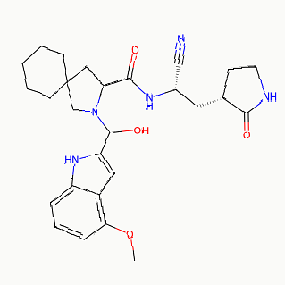 COc1cccc2[nH]c(C(O)N3CC4(CCCCC4)CC3C(=O)N[C@H](C#N)C[C@@H]3CCNC3=O)cc12